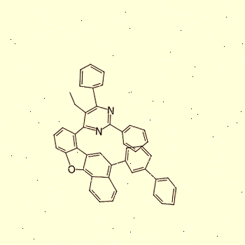 CCc1c(-c2ccccc2)nc(-c2ccccc2)nc1-c1cccc2oc3c4ccccc4c(-c4cccc(-c5ccccc5)c4)cc3c12